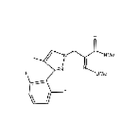 CNC(=O)C(Cn1cc(C)c(-c2c(F)cccc2F)n1)=NOC